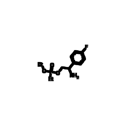 CCOP(=O)(CC)OCC(N)c1ccc(F)cc1